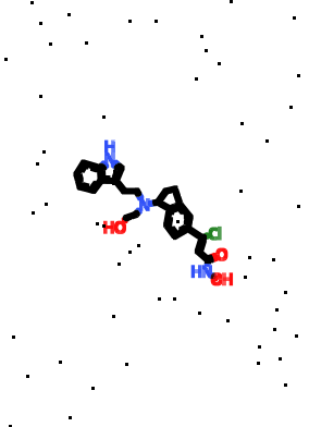 O=C(/C=C(\Cl)c1ccc2c(c1)CCC2N(CCO)CCc1c[nH]c2ccccc12)NO